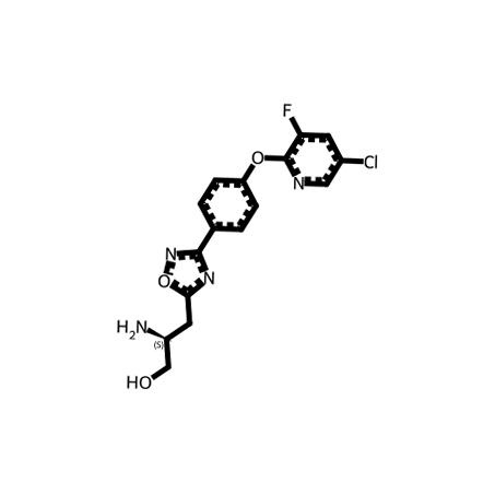 N[C@H](CO)Cc1nc(-c2ccc(Oc3ncc(Cl)cc3F)cc2)no1